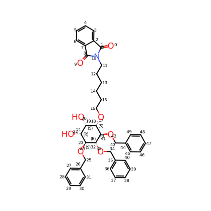 O=C1c2ccccc2C(=O)N1CCCCCCO[C@H]1[C@@H](O)[C@@H](O)[C@H](OCc2ccccc2)[C@@H](OCc2ccccc2)[C@@H]1OCc1ccccc1